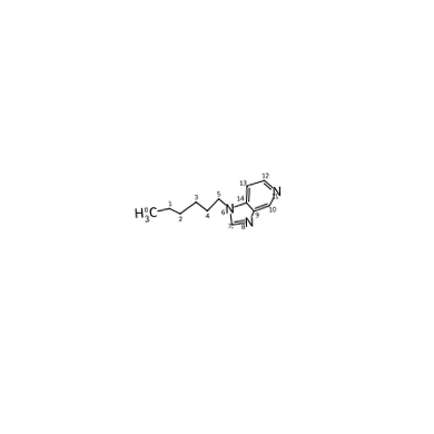 CCCCCCn1[c]nc2cnccc21